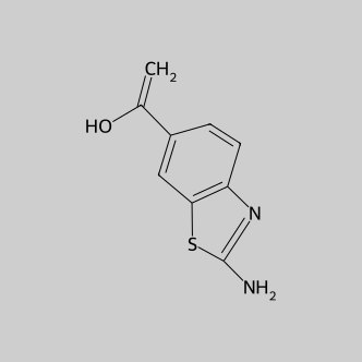 C=C(O)c1ccc2nc(N)sc2c1